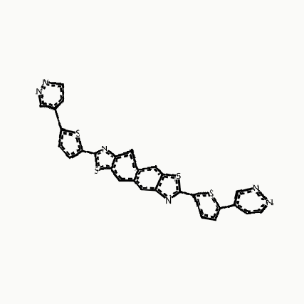 c1cc(-c2ccc(-c3nc4cc5cc6sc(-c7ccc(-c8ccnnc8)s7)nc6cc5cc4s3)s2)cnn1